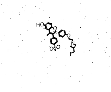 CC1=C(c2ccc(S(C)(=O)=O)cc2)[C@@H](c2ccc(OCCN3CC(CF)C3)cc2)Oc2ccc(O)cc21